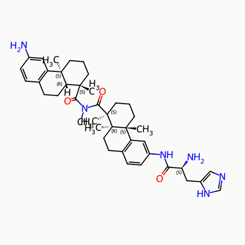 CN(C(=O)[C@@]1(C)CCC[C@]2(C)c3cc(N)ccc3CC[C@@H]12)C(=O)[C@@]1(C)CCC[C@]2(C)c3cc(NC(=O)[C@@H](N)Cc4cnc[nH]4)ccc3CC[C@@]12C